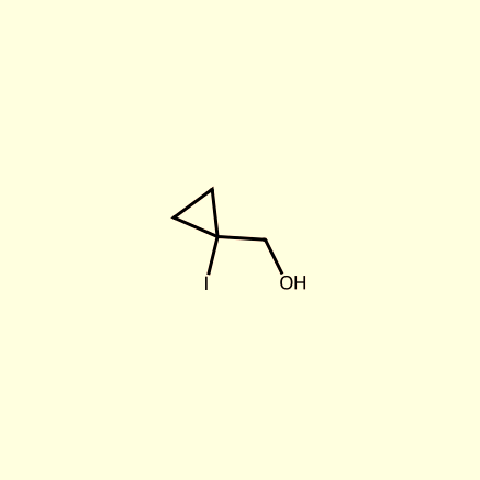 OCC1(I)CC1